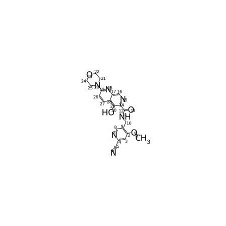 COc1cc(C#N)ncc1CNC(=O)c1ncc2nc(N3CCOCC3)ccc2c1O